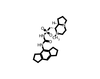 CN1CCN2CCC[C@@H]2[C@H]1CS(=O)(=O)NC(=O)Nc1c2c(cc3c1CCC3)CCC2